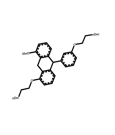 CCCCCCCCCCCCOc1cccc(C2c3cccc(OC)c3Cc3c(OCCCCCCCCCCCC)cccc32)c1